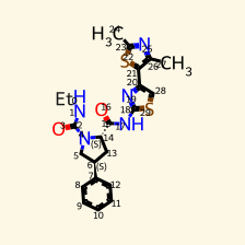 CCNC(=O)N1C[C@H](c2ccccc2)C[C@H]1C(=O)Nc1nc(-c2sc(C)nc2C)cs1